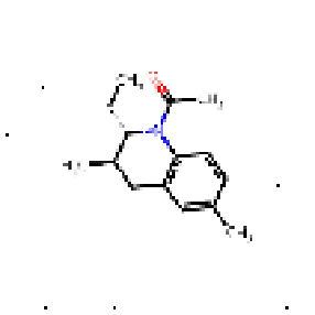 CC[C@H]1[C@H](C)Cc2cc(C)ccc2N1C(C)=O